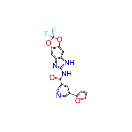 O=C(Nc1nc2cc3c(cc2[nH]1)OC(F)(F)O3)c1cncc(-c2ccco2)c1